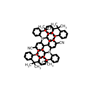 CC1(C)c2ccccc2N(c2cc(-c3cc(N4c5ccccc5C(C)(C)c5ccccc54)c(C#N)cc3N3c4ccccc4C(C)(C)c4ccccc43)c(N3c4ccccc4C(C)(C)c4ccccc43)cc2C#N)c2ccccc21